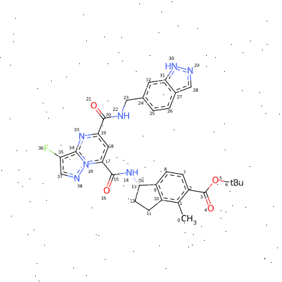 Cc1c(C(=O)OC(C)(C)C)ccc2c1CC[C@@H]2NC(=O)c1cc(C(=O)NCc2ccc3cn[nH]c3c2)nc2c(F)cnn12